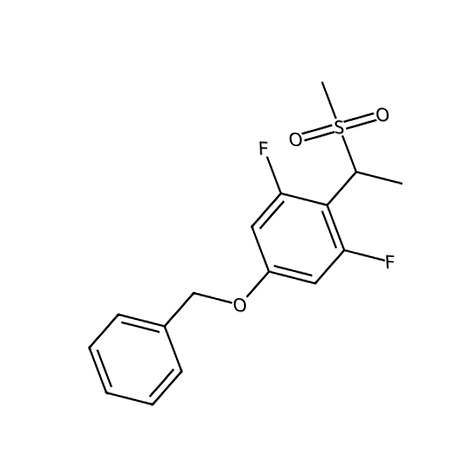 CC(c1c(F)cc(OCc2ccccc2)cc1F)S(C)(=O)=O